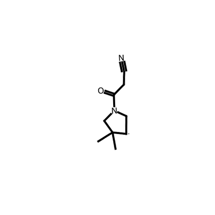 CC1(C)[CH]CN(C(=O)CC#N)C1